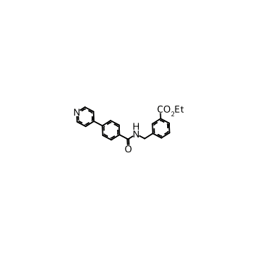 CCOC(=O)c1cccc(CNC(=O)c2ccc(-c3ccncc3)cc2)c1